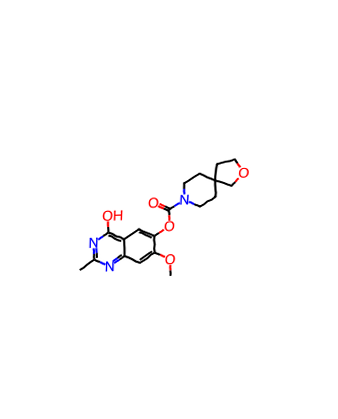 COc1cc2nc(C)nc(O)c2cc1OC(=O)N1CCC2(CCOC2)CC1